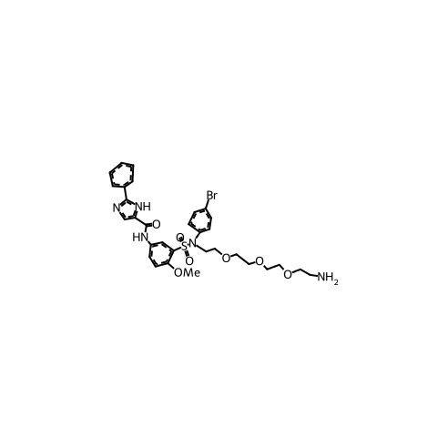 COc1ccc(NC(=O)c2cnc(-c3ccccc3)[nH]2)cc1S(=O)(=O)N(CCOCCOCCOCCN)c1ccc(Br)cc1